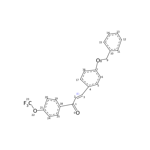 O=C(/C=C/c1ccc(OCc2ccccc2)cc1)c1ccc(OC(F)(F)F)cc1